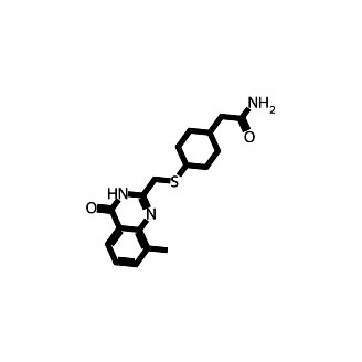 Cc1cccc2c(=O)[nH]c(CSC3CCC(CC(N)=O)CC3)nc12